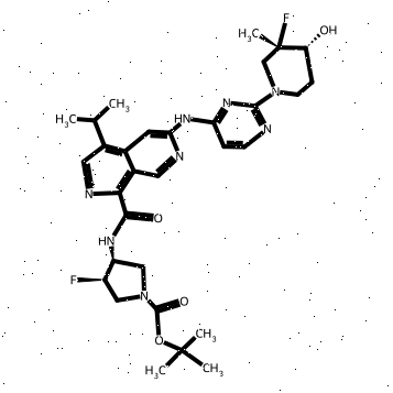 CC(C)c1cnc(C(=O)N[C@H]2CN(C(=O)OC(C)(C)C)C[C@H]2F)c2cnc(Nc3ccnc(N4CC[C@@H](O)[C@@](C)(F)C4)n3)cc12